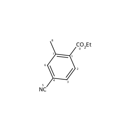 CCOC(=O)c1ccc(C#N)cc1C